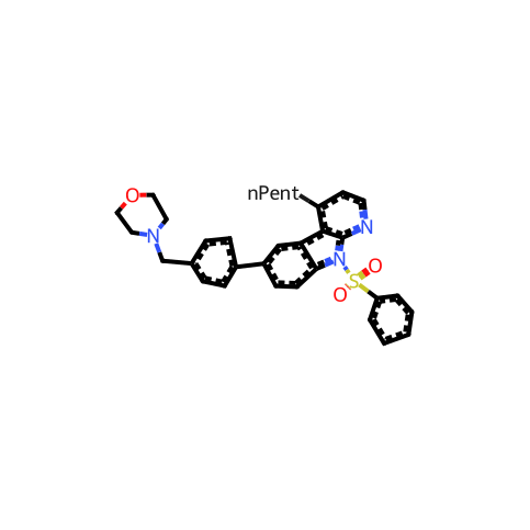 CCCCCc1ccnc2c1c1cc(-c3ccc(CN4CCOCC4)cc3)ccc1n2S(=O)(=O)c1ccccc1